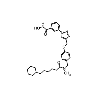 CN(Cc1ccc(SCc2cn(-c3cccc(C(=O)NO)c3)nn2)cc1)C(=O)CCCCCC1CCCCC1